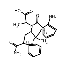 CC(C(=O)O)N(C(=O)c1ccccc1N)C(CC(C(N)=O)c1ccccc1)C(C)(C)C